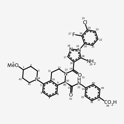 COC1CCN(c2cccc3c2CCN(C(=O)c2cnn(-c4cccc(Cl)c4F)c2N)[C@H]3C(=O)Nc2ccc(C(=O)O)cc2)CC1